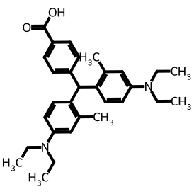 CCN(CC)c1ccc(C(c2ccc(C(=O)O)cc2)c2ccc(N(CC)CC)cc2C)c(C)c1